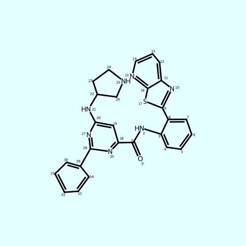 O=C(Nc1ccccc1-c1nc2cccnc2s1)c1cc(NC2CCNC2)nc(-c2ccccc2)n1